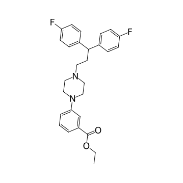 CCOC(=O)c1cccc(N2CCN(CCC(c3ccc(F)cc3)c3ccc(F)cc3)CC2)c1